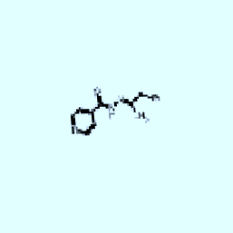 C/C(CC(C)C)=N\NC(=O)c1ccncc1